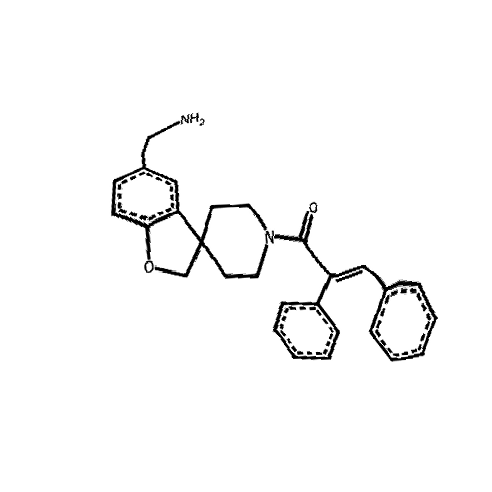 NCc1ccc2c(c1)C1(CCN(C(=O)/C(=C/c3ccccc3)c3ccccc3)CC1)CO2